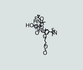 Cc1ncsc1-c1ccc(CNC(=O)[C@@H]2C[C@@H](O)CN2C(=O)[C@@H](NC(=O)C2(F)CC2)C(C)(C)C)c(OCCCCOCC=O)c1